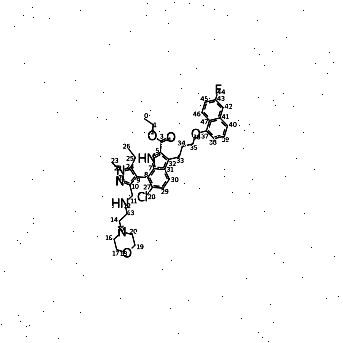 CCOC(=O)c1[nH]c2c(-c3c(CNCCN4CCOCC4)nn(C)c3CC)c(Cl)ccc2c1CCCOc1cccc2cc(F)ccc12